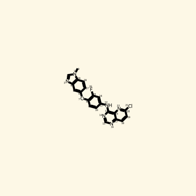 Cn1cnc2cc(Oc3ccc(Nc4ncnc5ccc(Cl)nc45)cc3F)ccc21